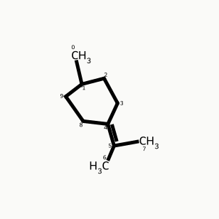 C[C]1CCC(=C(C)C)CC1